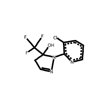 OC1(C(F)(F)F)CC=NN1c1ncccc1Cl